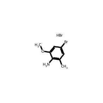 Br.COc1cc(Br)cc(C)c1N